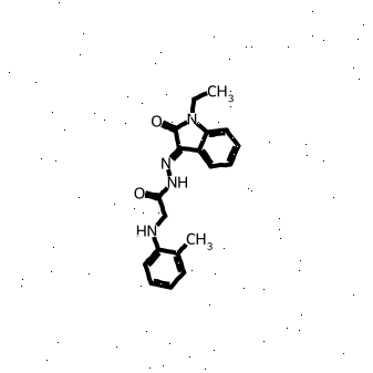 CCN1C(=O)/C(=N/NC(=O)CNc2ccccc2C)c2ccccc21